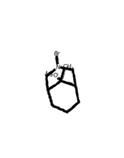 COC1(C)C2CCCC1CN(Br)C2